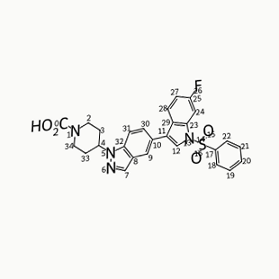 O=C(O)N1CCC(n2ncc3cc(-c4cn(S(=O)(=O)c5ccccc5)c5cc(F)ccc45)ccc32)CC1